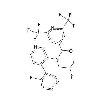 O=C(c1cc(C(F)(F)F)nc(C(F)(F)F)c1)N(CC(F)F)c1cnccc1-c1ccccc1F